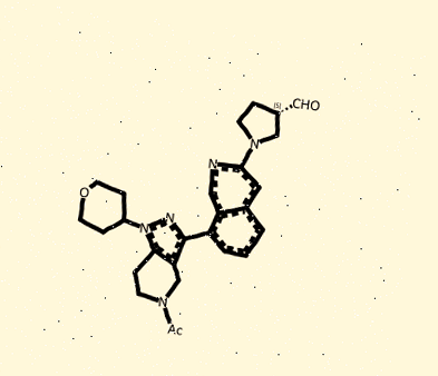 CC(=O)N1CCc2c(c(-c3cccc4cc(N5CC[C@H](C=O)C5)ncc34)nn2C2CCOCC2)C1